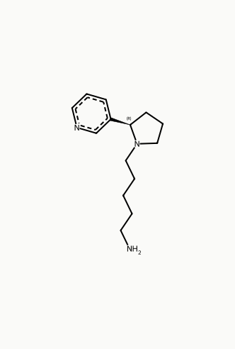 NCCCCCN1CCC[C@@H]1c1cccnc1